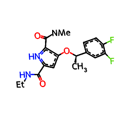 CCNC(=O)c1cc(O[C@H](C)c2ccc(F)c(F)c2)c(C(=O)NC)[nH]1